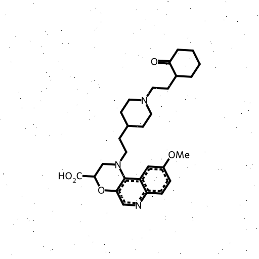 COc1ccc2ncc3c(c2c1)N(CCC1CCN(CCC2CCCCC2=O)CC1)CC(C(=O)O)O3